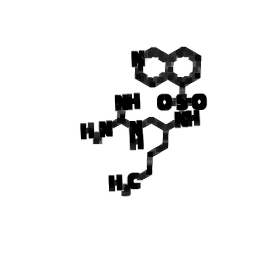 CCCCC(CNC(=N)N)NS(=O)(=O)c1cccc2cnccc12